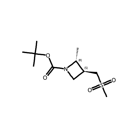 C[C@@H]1[C@@H](CS(C)(=O)=O)CN1C(=O)OC(C)(C)C